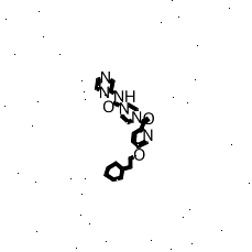 O=C(Nc1cnccn1)N1CCN(C(=O)c2ccc(OCCC3CCCCC3)cn2)CC1